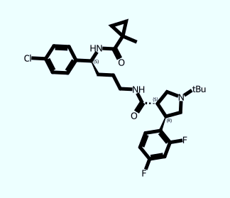 CC1(C(=O)N[C@@H](CCCNC(=O)[C@@H]2CN(C(C)(C)C)C[C@H]2c2ccc(F)cc2F)c2ccc(Cl)cc2)CC1